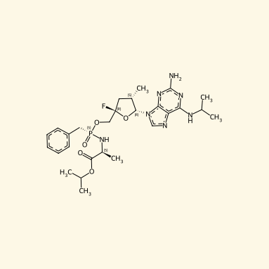 CC(C)Nc1nc(N)nc2c1ncn2[C@@H]1O[C@](F)(CO[P@@](=O)(Cc2ccccc2)N[C@@H](C)C(=O)OC(C)C)C[C@@H]1C